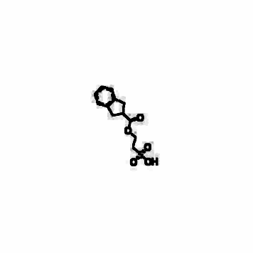 O=C(OCCS(=O)(=O)O)C1Cc2ccccc2C1